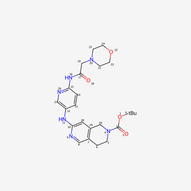 CC(C)(C)OC(=O)N1CCc2cnc(Nc3ccc(NC(=O)CN4CCOCC4)nc3)cc2C1